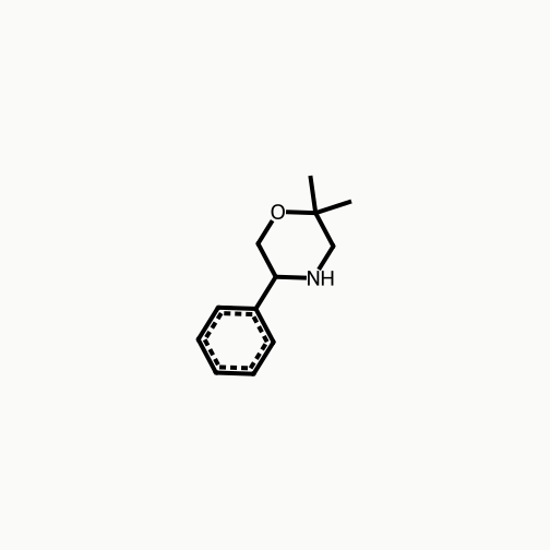 CC1(C)CNC(c2ccccc2)CO1